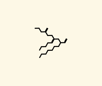 C=CC(CCCCCCC)CC(=CCCCC)CCC(=C)CCC